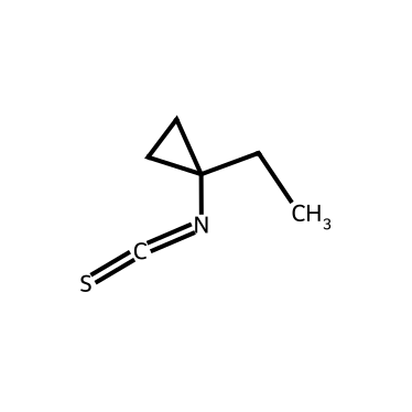 CCC1(N=C=S)CC1